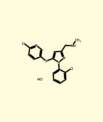 CNCc1cc(Sc2ccc(Cl)nc2)n(-c2ccccc2Cl)n1.Cl